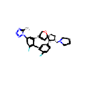 Cc1c(F)cc(-n2nnnc2C(F)(F)F)cc1[C@H]1CO[C@]2(CC[C@H](CN3CCCC3)[C@H]2c2ccc(F)cc2)C1